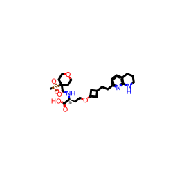 CS(=O)(=O)C1(C(=O)N[C@@H](CCOC2CC(CCc3ccc4c(n3)NCCC4)C2)C(=O)O)CCOCC1